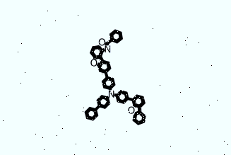 c1ccc(-c2ccc(N(c3ccc(-c4ccc5c(c4)oc4ccc6oc(-c7ccccc7)nc6c45)cc3)c3ccc(-c4cccc5c4oc4ccccc45)cc3)cc2)cc1